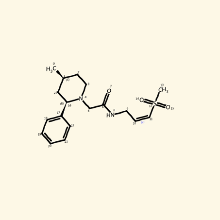 C[C@H]1CCN(CC(=O)NC/C=C\S(C)(=O)=O)[C@@H](c2ccccc2)C1